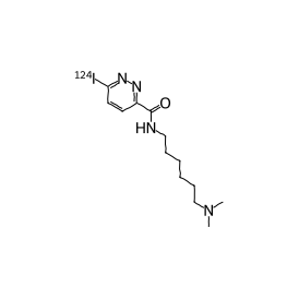 CN(C)CCCCCCNC(=O)c1ccc([124I])nn1